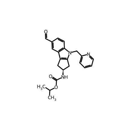 CC(C)OC(=O)N[C@H]1Cc2c(n(Cc3ccccn3)c3ccc(C=O)cc23)C1